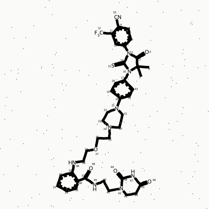 CC1(C)C(=O)N(c2ccc(C#N)c(C(F)(F)F)c2)C(=S)N1c1ccc(N2CCN(CCOCCNc3ccccc3C(=O)NCCN3CCC(=O)NC3=O)CC2)cc1